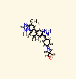 Cc1cc(-c2cc3[nH]nc(C4CCC(N5CC6(COC6)C5)CC4)c3cc2C(C)C)cn2ncnc12